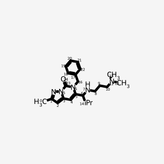 Cc1cc2cc(C(NCCCN(C)C)C(C)C)n(Cc3ccccc3)c(=O)n2n1